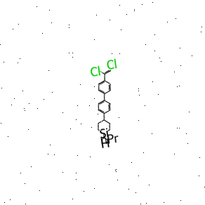 CCC[SiH]1CCC(c2ccc(-c3ccc(C(Cl)=CCl)cc3)cc2)CC1